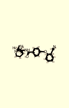 C[C@H]1[C@H](NC(=O)c2ccc(Oc3ccccc3C#N)cc2)C2CCN1CC2